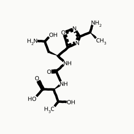 CC(O)[C@H](NC(=O)N[C@@H](CC(N)O)c1nc([C@H](C)N)no1)C(=O)O